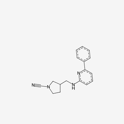 N#CN1CCC(CNc2cccc(-c3ccccc3)n2)C1